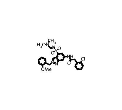 COc1ccccc1Cn1cc2c(S(=O)(=O)N=CN(C)C)cc(NC(=O)Cc3ccccc3Cl)cc2n1